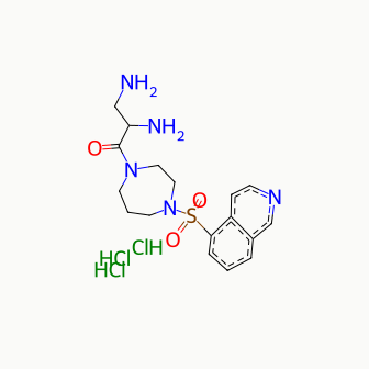 Cl.Cl.Cl.NCC(N)C(=O)N1CCCN(S(=O)(=O)c2cccc3cnccc23)CC1